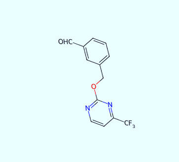 O=Cc1cccc(COc2nccc(C(F)(F)F)n2)c1